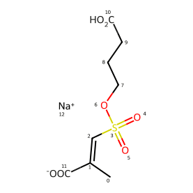 CC(=CS(=O)(=O)OCCCC(=O)O)C(=O)[O-].[Na+]